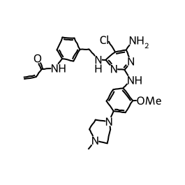 C=CC(=O)Nc1cccc(CNc2nc(Nc3ccc(N4CCN(C)CC4)cc3OC)nc(N)c2Cl)c1